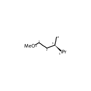 COCC[C@@H](C)C(C)C